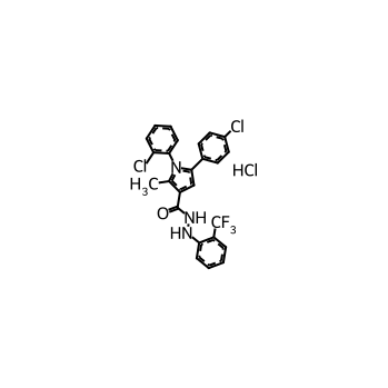 Cc1c(C(=O)NNc2ccccc2C(F)(F)F)cc(-c2ccc(Cl)cc2)n1-c1ccccc1Cl.Cl